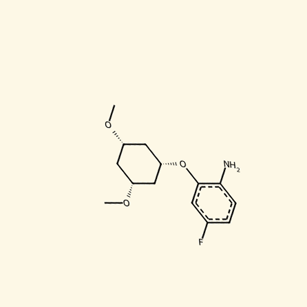 CO[C@@H]1C[C@H](OC)C[C@H](Oc2cc(F)ccc2N)C1